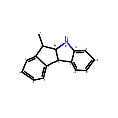 CC1c2ccccc2C2c3ccccc3NC12